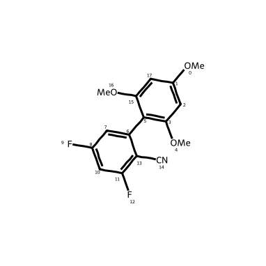 COc1cc(OC)c(-c2cc(F)cc(F)c2C#N)c(OC)c1